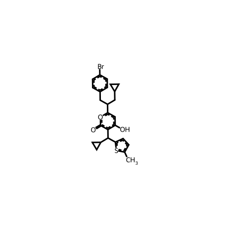 Cc1ccc(C(c2c(O)cc(C(Cc3ccc(Br)cc3)CC3CC3)oc2=O)C2CC2)s1